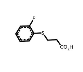 O=C(O)CCSc1ccccc1F